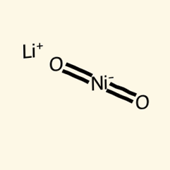 [Li+].[O]=[Ni-]=[O]